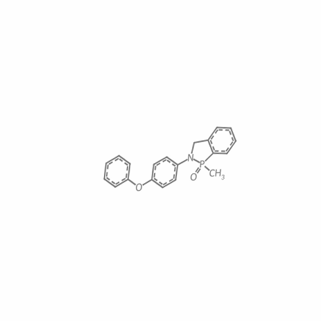 CP1(=O)c2ccccc2CN1c1ccc(Oc2ccccc2)cc1